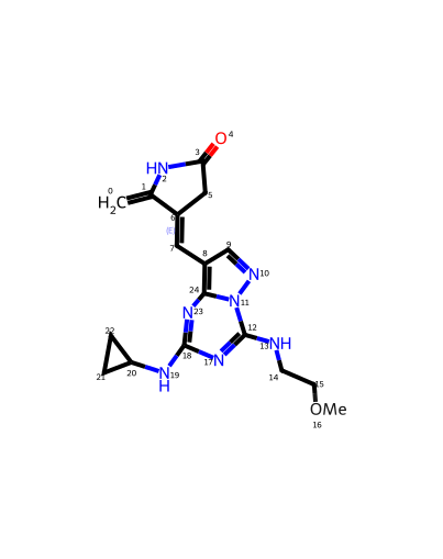 C=C1NC(=O)C/C1=C\c1cnn2c(NCCOC)nc(NC3CC3)nc12